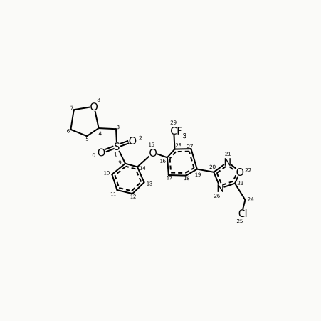 O=S(=O)(CC1CCCO1)c1ccccc1Oc1ccc(-c2noc(CCl)n2)cc1C(F)(F)F